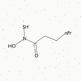 CCCCCC(=O)N(O)S